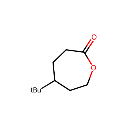 CC(C)(C)C1CCOC(=O)CC1